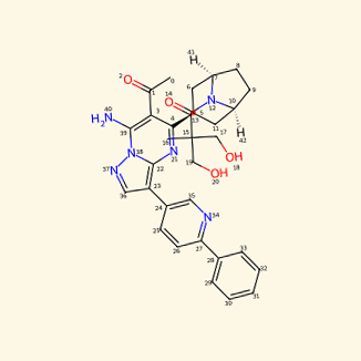 CC(=O)c1c([C@H]2C[C@H]3CC[C@@H](C2)N3C(=O)C(C)(CO)CO)nc2c(-c3ccc(-c4ccccc4)nc3)cnn2c1N